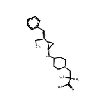 CC/C(=C\c1ccccc1)C1C[C@H]1NC1CCN(CC(C)(C)C(N)=O)CC1